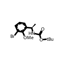 COc1c(Br)cccc1[C@@H](C)NC(=O)OC(C)(C)C